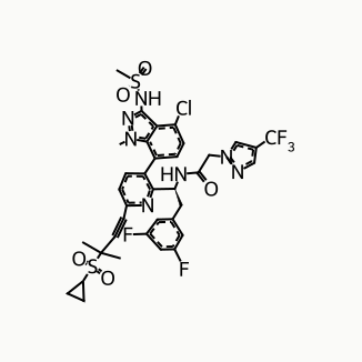 Cn1nc(NS(C)(=O)=O)c2c(Cl)ccc(-c3ccc(C#CC(C)(C)S(=O)(=O)C4CC4)nc3[C@H](Cc3cc(F)cc(F)c3)NC(=O)Cn3cc(C(F)(F)F)cn3)c21